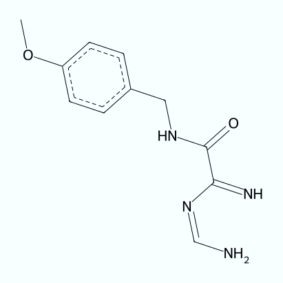 COc1ccc(CNC(=O)C(=N)/N=C\N)cc1